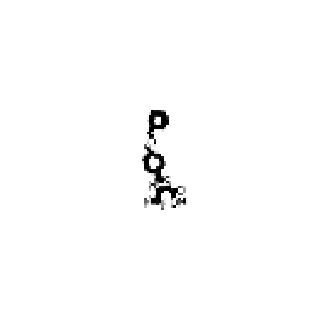 O=C(O)c1sc(C2CCC(COCc3ccccc3)CC2)nc1C(F)F